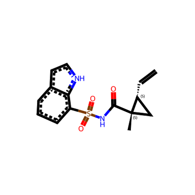 C=C[C@@H]1C[C@]1(C)C(=O)NS(=O)(=O)c1cccc2cc[nH]c12